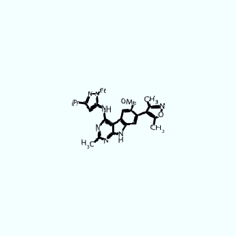 CCn1nc(C(C)C)cc1Nc1nc(C)nc2[nH]c3cc(-c4c(C)noc4C)c(OC)cc3c12